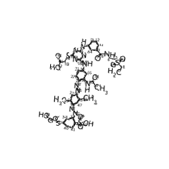 C=CS(=O)(=O)CCNC(=O)c1cccc(Nc2nc(Nc3ccc(N=Nc4cc(C)c(N=Nc5cc(SOOO)ccc5S(=O)(=O)O)cc4C)c(NC(C)=O)c3)nc(SCC(=O)O)n2)c1